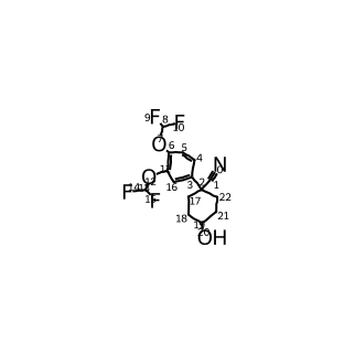 N#CC1(c2ccc(OC(F)F)c(OC(F)F)c2)CCC(O)CC1